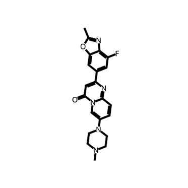 Cc1nc2c(F)cc(-c3cc(=O)n4cc(N5CCN(C)CC5)ccc4n3)cc2o1